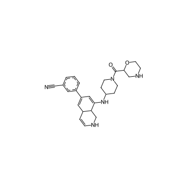 N#Cc1cccc(C2=CC3C=CNCC3C(NC3CCN(C(=O)C4CNCCO4)CC3)=C2)c1